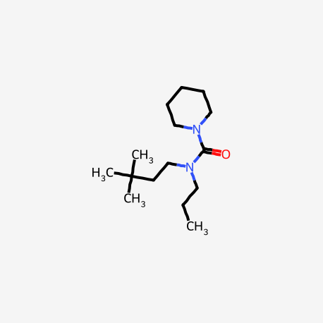 CCCN(CCC(C)(C)C)C(=O)N1CCCCC1